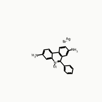 CC[n+]1c(-c2ccccc2)c2cc(N)ccc2c2ccc(N)cc21.[Ag].[Br-]